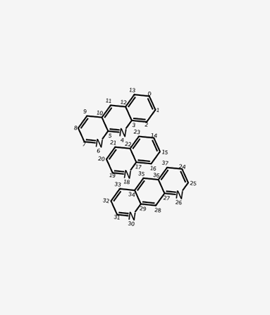 c1ccc2nc3ncccc3cc2c1.c1ccc2ncccc2c1.c1cnc2cc3ncccc3cc2c1